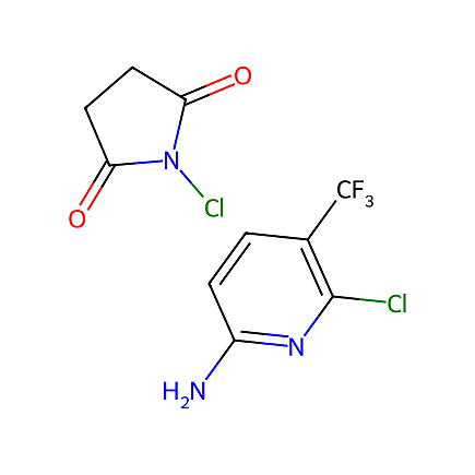 Nc1ccc(C(F)(F)F)c(Cl)n1.O=C1CCC(=O)N1Cl